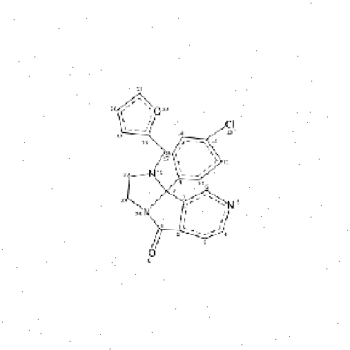 O=C1c2ccncc2C2(c3ccc(Cl)cc3)N(Cc3ccco3)CCN12